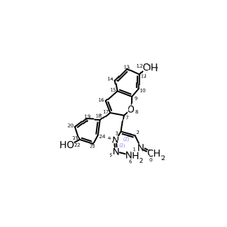 C=N/C=C(\N=N/N)C1Oc2cc(O)ccc2C=C1c1ccc(O)cc1